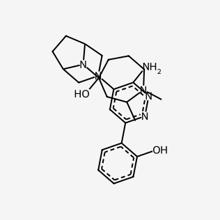 CC1CC(O)(N2C3CCC2CN(c2cc(-c4ccccc4O)nnc2N)C3)CCCN1C